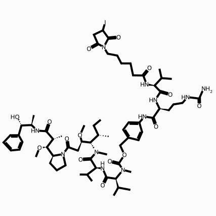 CC[C@H](C)[C@@H]([C@@H](CC(=O)N1CCC[C@H]1[C@H](OC)[C@@H](C)C(=O)N[C@H](C)[C@@H](O)c1ccccc1)OC)N(C)C(=O)[C@@H](NC(=O)[C@H](C(C)C)N(C)C(=O)OCc1ccc(NC(=O)[C@H](CCCNC(N)=O)NC(=O)[C@@H](NC(=O)CCCCCN2C(=O)CC(I)C2=O)C(C)C)cc1)C(C)C